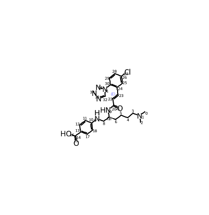 CN(C)CCCC[C@@H](CNc1ccc(C(=O)O)cc1)NC(=O)/C=C/c1cc(Cl)ccc1-n1cnnn1